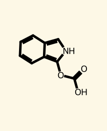 O=C(O)Oc1[nH]cc2ccccc12